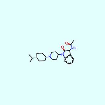 CC(=O)NC1C(=O)N(C2CCN([C@H]3CC[C@@H](C(C)C)CC3)CC2)c2ccccc21